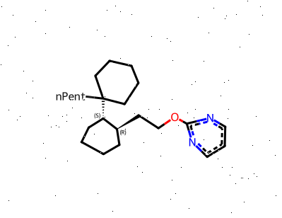 CCCCCC1([C@H]2CCCC[C@@H]2CCOc2ncccn2)CCCCC1